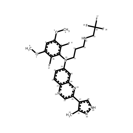 COc1cc(OC)c(F)c(N(CCCNCC(F)(F)F)c2ccc3ncc(-c4c[nH]nc4C)nc3c2)c1F